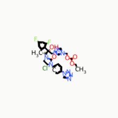 CCOC(=O)OCn1cn[n+](C[C@](O)(c2ccc(F)cc2F)[C@@H](C)N2CCN(c3ccc(-n4cnnn4)cc3)C2=O)c1.[Cl-]